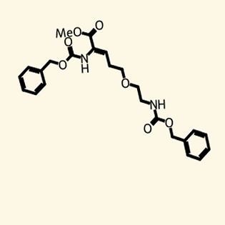 COC(=O)/C(=C/CCOCCNC(=O)OCc1ccccc1)NC(=O)OCc1ccccc1